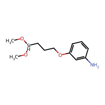 CO[SiH](CCCOc1cccc(N)c1)OC